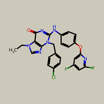 CCn1cnc2c1c(=O)nc(Nc1ccc(Oc3cc(F)cc(F)n3)cc1)n2Cc1ccc(Cl)cc1